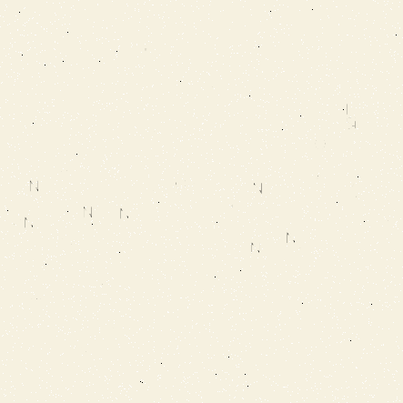 Cn1nc(C(O[SiH](C)C)C(C)(C)C)nc1COc1nn2c(-c3ccccc3)nnc2cc1-c1ccccc1